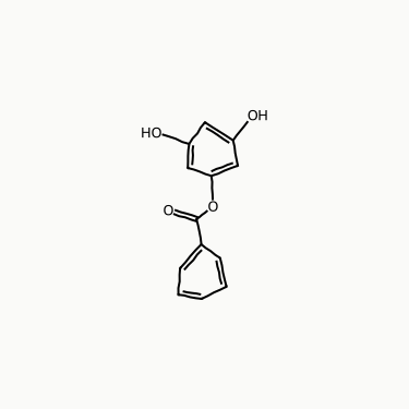 O=C(Oc1cc(O)cc(O)c1)c1ccccc1